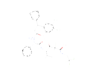 CC(C)[C@H](NC(=O)C(NC(=O)CC(c1ccccc1)c1ccc(Cl)c(Cl)c1)c1ccccc1)C(=O)C(F)(F)C(=O)NCC(F)(F)F